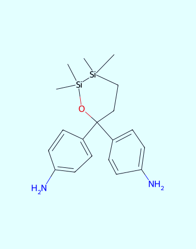 C[Si]1(C)CCC(c2ccc(N)cc2)(c2ccc(N)cc2)O[Si]1(C)C